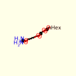 CCCCCCOc1ccc(OC(=O)/C=C/c2ccc(C(=O)OCCCCCCCCCCCOC(=O)c3cc(N)cc(N)c3)cc2)cc1